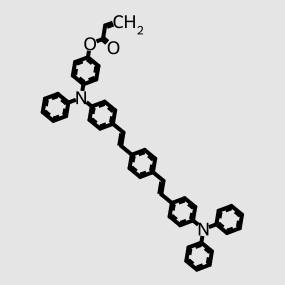 C=CC(=O)Oc1ccc(N(c2ccccc2)c2ccc(C=Cc3ccc(C=Cc4ccc(N(c5ccccc5)c5ccccc5)cc4)cc3)cc2)cc1